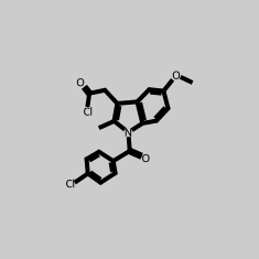 COc1ccc2c(c1)c(CC(=O)Cl)c(C)n2C(=O)c1ccc(Cl)cc1